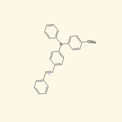 COc1ccc(N(c2ccccc2)c2ccc(/C=C/c3ccccc3)cc2)cc1